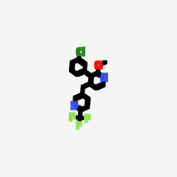 COc1nccc(Cc2ccc(C(F)(F)F)nc2)c1-c1cccc(Cl)c1